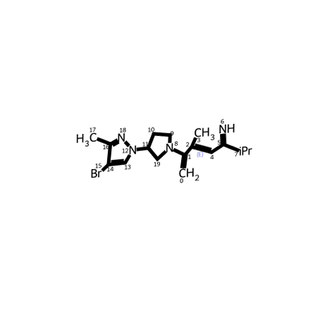 C=C(/C(C)=C/C(=N)C(C)C)N1CCC(n2cc(Br)c(C)n2)C1